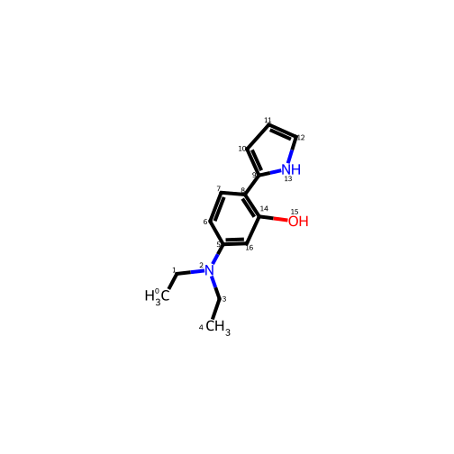 CCN(CC)c1ccc(-c2ccc[nH]2)c(O)c1